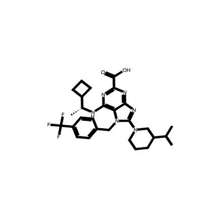 CC(C)C1CCCN(c2nc3nc(C(=O)O)nc(N[C@H](C)C4CCC4)c3n2Cc2ccc(C(F)(F)F)cc2)C1